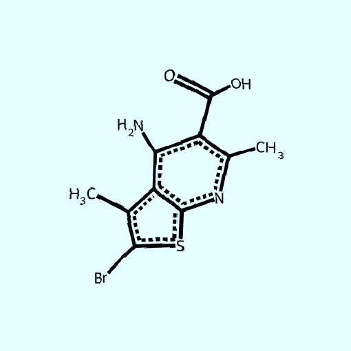 Cc1nc2sc(Br)c(C)c2c(N)c1C(=O)O